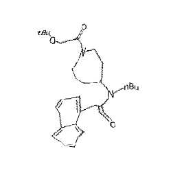 CCCCN(C(=O)c1cccc2ccccc12)C1CCN(C(=O)OC(C)(C)C)CC1